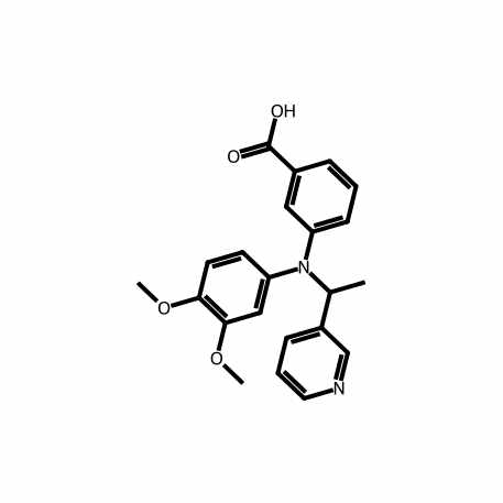 COc1ccc(N(c2cccc(C(=O)O)c2)C(C)c2cccnc2)cc1OC